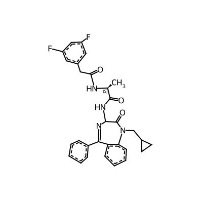 C[C@H](NC(=O)Cc1cc(F)cc(F)c1)C(=O)NC1N=C(c2ccccc2)c2ccccc2N(CC2CC2)C1=O